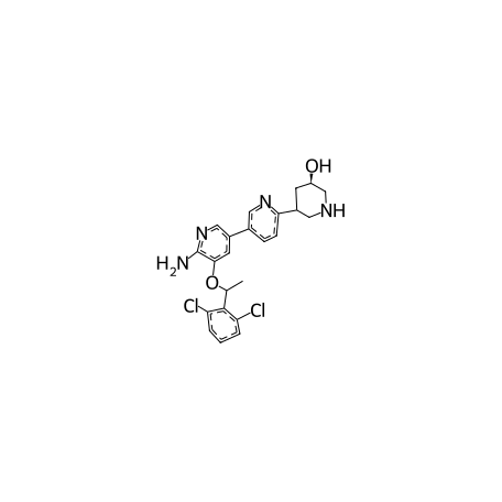 CC(Oc1cc(-c2ccc(C3CNC[C@H](O)C3)nc2)cnc1N)c1c(Cl)cccc1Cl